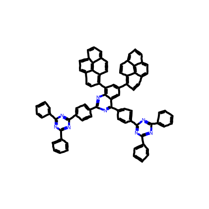 c1ccc(-c2nc(-c3ccccc3)nc(-c3ccc(-c4nc(-c5ccc(-c6nc(-c7ccccc7)nc(-c7ccccc7)n6)cc5)c5cc(-c6ccc7ccc8cccc9ccc6c7c89)cc(-c6ccc7ccc8cccc9ccc6c7c89)c5n4)cc3)n2)cc1